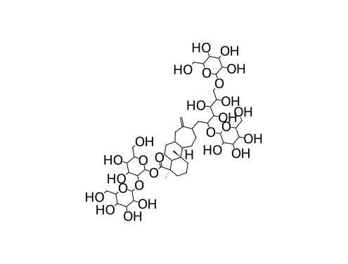 C=C1CC2CCC3[C@](C)(C(=O)OC4OC(CO)C(O)C(O)C4OC4OC(CO)C(O)C(O)C4O)CCC[C@@]3(C)[C@@H]2CCC1CC(OC1OC(CO)C(O)C(O)C1O)C(O)C(O)C(O)COC1OC(CO)C(O)C(O)C1O